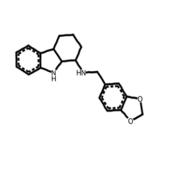 c1ccc2c(c1)NC1C(NCc3ccc4c(c3)OCO4)CCCC21